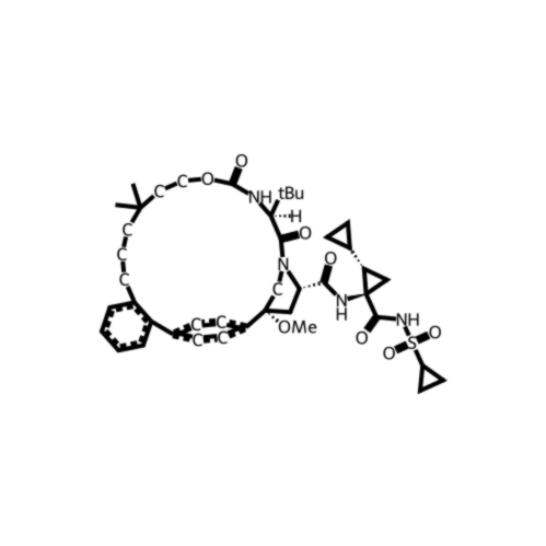 CO[C@@]12C[C@@H](C(=O)N[C@]3(C(=O)NS(=O)(=O)C4CC4)C[C@H]3C3CC3)N(C1)C(=O)[C@H](C(C)(C)C)NC(=O)OCCC(C)(C)CCCc1ccccc1-c1ccc2cc1